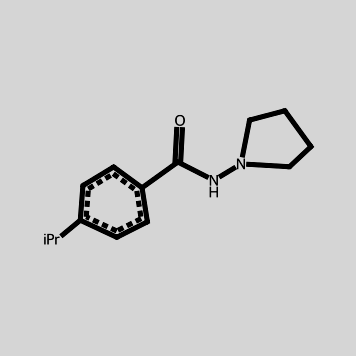 CC(C)c1ccc(C(=O)NN2CCCC2)cc1